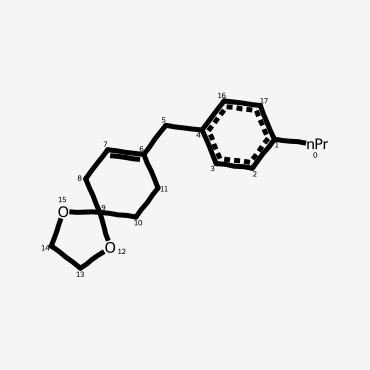 CCCc1ccc(CC2=CCC3(CC2)OCCO3)cc1